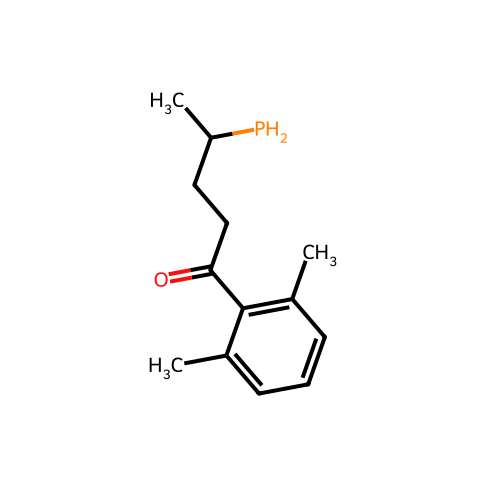 Cc1cccc(C)c1C(=O)CCC(C)P